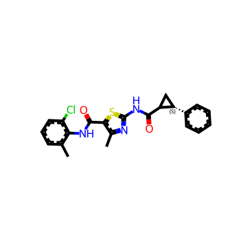 Cc1cccc(Cl)c1NC(=O)c1sc(NC(=O)C2C[C@@H]2c2ccccc2)nc1C